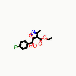 CCOC(=O)c1c(C)noc1C(O)c1ccc(F)cc1